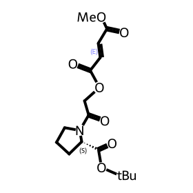 COC(=O)/C=C/C(=O)OCC(=O)N1CCC[C@H]1C(=O)OC(C)(C)C